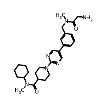 CN(Cc1cccc(-c2cnc(N3CCC(C(=O)N(C)C4CCCCC4)CC3)nc2)c1)C(=O)CN